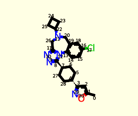 Cc1cc([C@H]2CC[C@H](c3nnc4n3-c3ccc(Cl)cc3CN(C3CCC3)C4)CC2)no1